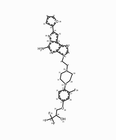 Nc1nc2c(ncn2CCN2CCN(c3ccc(OCC(O)C(F)(F)F)cc3F)CC2)c2cc(-c3ccco3)nn12